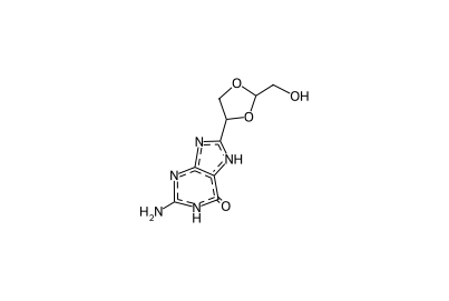 Nc1nc2nc(C3COC(CO)O3)[nH]c2c(=O)[nH]1